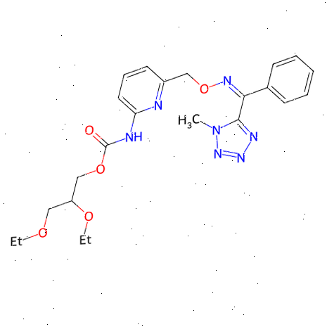 CCOCC(COC(=O)Nc1cccc(CO/N=C(/c2ccccc2)c2nnnn2C)n1)OCC